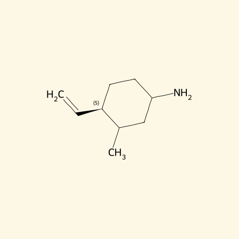 C=C[C@H]1CCC(N)CC1C